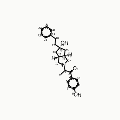 CC(C(=O)c1ccc(O)cc1)N1C[C@@H]2C[C@@](O)(CCc3ccccc3)C[C@@H]2C1